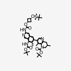 Cc1c(-c2cc3cc(NC(=O)OC4CC(O[Si](C)(C)C(C)(C)C)C4)ncc3c(NC(=O)OC(C)(C)C)c2F)cnc2c1N(C(=O)OC(C)(C)C)CC(C)C2